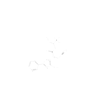 C#CCN(C(=O)CC(SC)C(F)(F)F)c1sc(-c2cccnc2)nc1C